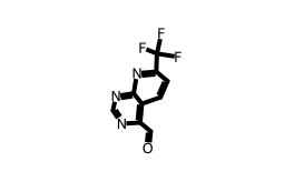 O=Cc1ncnc2nc(C(F)(F)F)ccc12